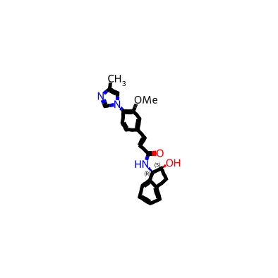 COc1cc(C=CC(=O)N[C@@H]2c3ccccc3C[C@@H]2O)ccc1-n1cnc(C)c1